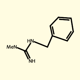 CNC(=N)NCc1ccccc1